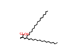 C=C(CC(CCCCCCCCCCCCCC)CCCCCCCCCCCCCCCC)C(=O)O